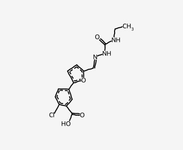 CCNC(=O)N/N=C/c1ccc(-c2ccc(Cl)c(C(=O)O)c2)o1